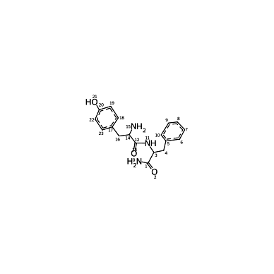 NC(=O)C(Cc1ccccc1)NC(=O)C(N)Cc1ccc(O)cc1